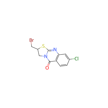 O=c1c2ccc(Cl)cc2nc2n1CC(CBr)S2